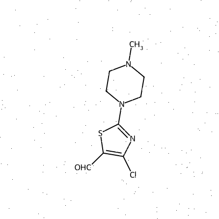 CN1CCN(c2nc(Cl)c(C=O)s2)CC1